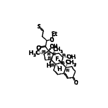 CCOC(CC=S)C(=O)[C@@]1(O)[C@@H](C)C[C@H]2[C@@H]3CCC4=CC(=O)CC[C@]4(C)[C@@]3(F)[C@@H](O)C[C@@]21C